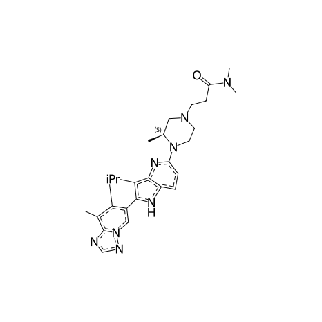 Cc1c(-c2[nH]c3ccc(N4CCN(CCC(=O)N(C)C)C[C@@H]4C)nc3c2C(C)C)cn2ncnc2c1C